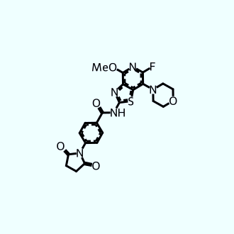 COc1nc(F)c(N2CCOCC2)c2sc(NC(=O)c3ccc(N4C(=O)CCC4=O)cc3)nc12